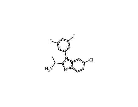 CC(N)c1nc2ccc(Cl)cc2n1-c1cc(F)cc(F)c1